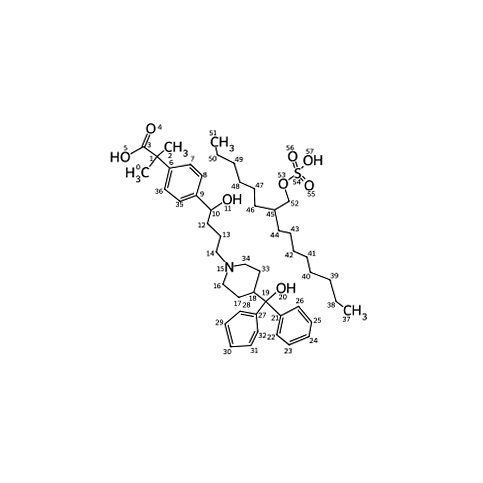 CC(C)(C(=O)O)c1ccc(C(O)CCCN2CCC(C(O)(c3ccccc3)c3ccccc3)CC2)cc1.CCCCCCCCC(CCCCCC)COS(=O)(=O)O